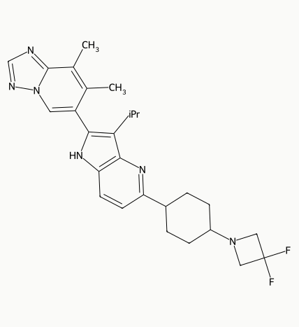 Cc1c(-c2[nH]c3ccc(C4CCC(N5CC(F)(F)C5)CC4)nc3c2C(C)C)cn2ncnc2c1C